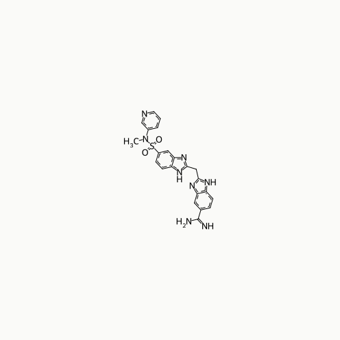 CN(c1cccnc1)S(=O)(=O)c1ccc2[nH]c(Cc3nc4cc(C(=N)N)ccc4[nH]3)nc2c1